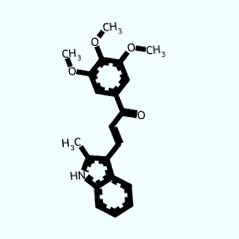 COc1cc(C(=O)/C=C/c2c(C)[nH]c3ccccc23)cc(OC)c1OC